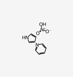 O=[N+]([O-])O.c1cc[nH]c1.c1ccncc1